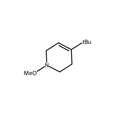 CON1CC=C(C(C)(C)C)CC1